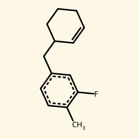 Cc1ccc(CC2C=CCCC2)cc1F